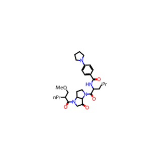 CCCC(COC)C(=O)N1CC(=O)C2C1CCN2C(=O)C(CC(C)C)NC(=O)c1ccc(N2CCCC2)cc1